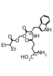 CCC(CC)C(=O)OCOC(=O)[C@@H](Cc1c[nH]c2ccccc12)NC(=O)CC[C@@H](N)C(=O)O